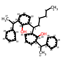 CCCCCC(c1cccc(C(C)c2ccccc2)c1O)c1cccc(C(C)c2ccccc2)c1O